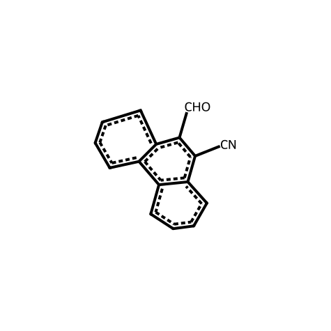 N#Cc1c(C=O)c2ccccc2c2ccccc12